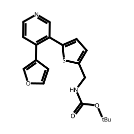 CC(C)(C)OC(=O)NCc1ccc(-c2cnccc2-c2ccoc2)s1